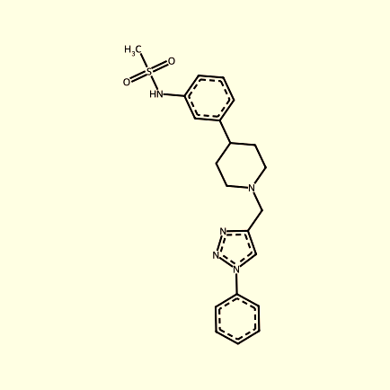 CS(=O)(=O)Nc1cccc(C2CCN(Cc3cn(-c4ccccc4)nn3)CC2)c1